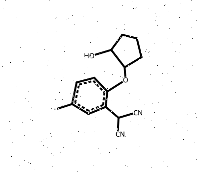 [CH]c1ccc(OC2CCCC2O)c(C(C#N)C#N)c1